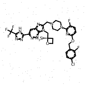 Fc1cc(Cl)ccc1COc1ccc(F)c(N2CCN(Cc3nc4cc(-c5nnc(C(F)(F)F)[nH]5)nnc4n3C[C@]3([SiH3])CCO3)CC2)n1